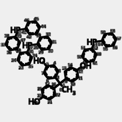 CC(c1ccc(O)cc1)(c1ccc(O)cc1)c1ccc(O)cc1.c1ccc(Pc2ccccc2)cc1.c1ccc(Pc2ccccc2)cc1.c1ccc(Pc2ccccc2)cc1